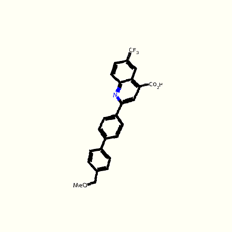 COCc1ccc(-c2ccc(-c3cc(C(=O)O)c4cc(C(F)(F)F)ccc4n3)cc2)cc1